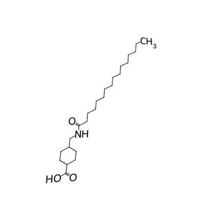 CCCCCCCCCCCCCCCC(=O)NCC1CCC(C(=O)O)CC1